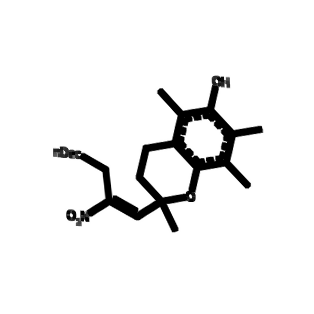 CCCCCCCCCCCC(=CC1(C)CCc2c(C)c(O)c(C)c(C)c2O1)[N+](=O)[O-]